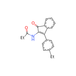 CCC(=O)NC1=C(c2ccc(CC)cc2)c2ccccc2C1=O